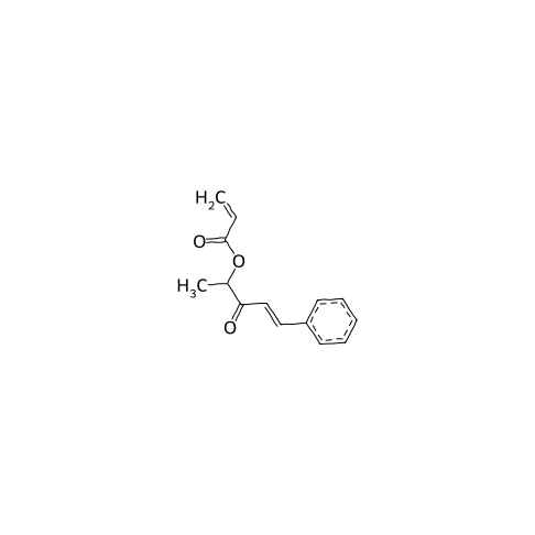 C=CC(=O)OC(C)C(=O)C=Cc1ccccc1